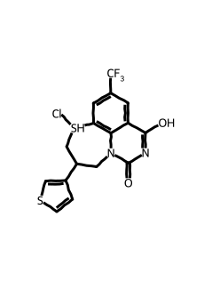 O=c1nc(O)c2cc(C(F)(F)F)cc3c2n1CC(c1ccsc1)C[SH]3Cl